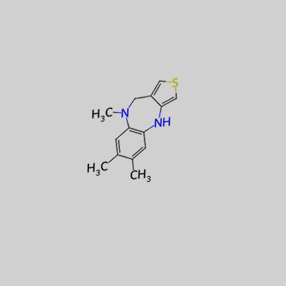 Cc1cc2c(cc1C)N(C)Cc1cscc1N2